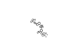 [C-]#[N+]c1cc(-c2nc(-c3cccc4c3CC[C@@H]4N3CC(C(=O)O)C3)no2)ccc1OC(C)C